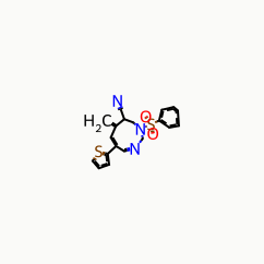 C=C1/C=C(c2cccs2)\C=N/CN(S(=O)(=O)c2ccccc2)CC1C#N